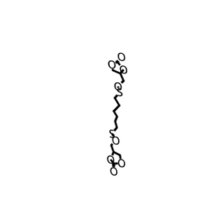 O=C1OCC(COSCCCCCCSOCC2COC(=O)O2)O1